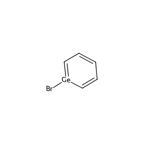 [Br][Ge]1=[CH]C=CC=[CH]1